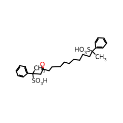 CC(CCCCCCCCCC(=O)CC(C)(c1ccccc1)S(=O)(=O)O)(c1ccccc1)S(=O)(=O)O